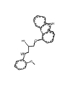 COc1ccccc1NCC(O)COc1cccc2[nH]c3ccccc3c12